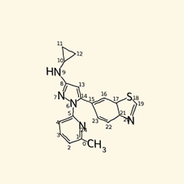 Cc1cccc(-n2nc(NC3CC3)cc2C2=CC3SC=NC3C=C2)n1